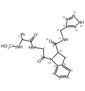 CC(C)C(NC(=O)O)C(=O)NCC(=O)N1c2ccccc2CC1C(=O)NCc1nn[nH]n1